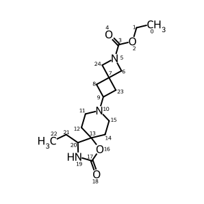 CCOC(=O)N1CC2(CC(N3CCC4(CC3)OC(=O)NC4CC)C2)C1